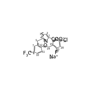 O=C([O-])c1csc(Cc2cc(C(F)(F)F)ccc2OCc2ccc(Cl)cc2F)n1.[Na+]